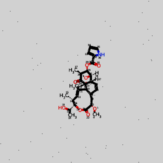 CO[C@H]1CC2C=C[C@H]3[C@H]4O[C@]2(/C(C)=C/[C@@H](C)[C@@H](C(C)O)OC1=O)[C@@H]3C(=O)[C@@H](C)[C@H]4OC(=O)c1ccc[nH]1